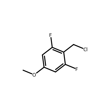 COc1cc(F)c(CCl)c(F)c1